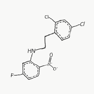 O=[N+]([O-])c1ccc(F)cc1NCCc1ccc(Cl)cc1Cl